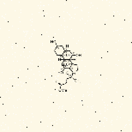 COC(=O)CC[C@@H](C)[C@H]1CC[C@@]2(C)[C@@H]3[C@H](O)C[C@@H]4C[C@H](O)CC[C@]4(C)[C@H]3C[C@H](O)[C@]12C